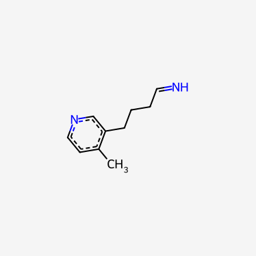 Cc1ccncc1CCCC=N